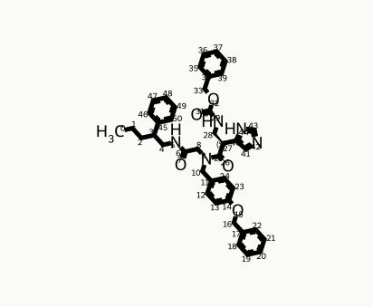 CCCC(CNC(=O)CN(Cc1ccc(OCc2ccccc2)cc1)C(=O)[C@@H](CNC(=O)OCc1ccccc1)c1cnc[nH]1)c1ccccc1